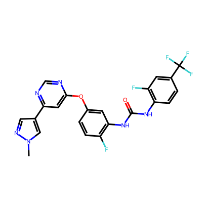 Cn1cc(-c2cc(Oc3ccc(F)c(NC(=O)Nc4ccc(C(F)(F)F)cc4F)c3)ncn2)cn1